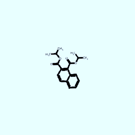 CC(C)OC(=O)c1ccc2ccccc2c1C(=O)OC(C)C